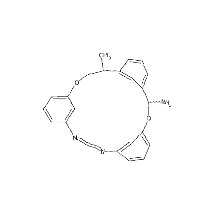 CC1COc2cccc(c2)N=C=Nc2cccc(c2)OC(N)c2cccc1c2